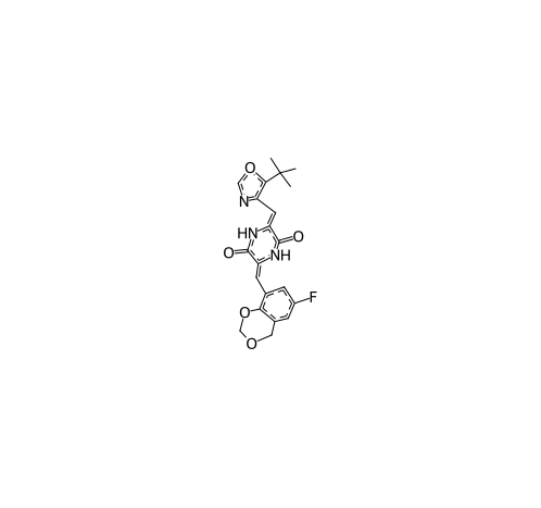 CC(C)(C)c1ocnc1/C=c1\[nH]c(=O)/c(=C/c2cc(F)cc3c2OCOC3)[nH]c1=O